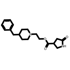 O=C1CC(C(=O)OCCN2CCC(Cc3ccccc3)CC2)CN1